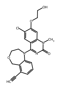 C#Cc1cccc2c1COCCN2c1nc(=O)n(C)c2cc(OCCO)c(Cl)cc12